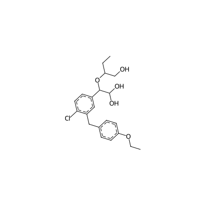 CCOc1ccc(Cc2cc(C(OC(CC)CO)C(O)O)ccc2Cl)cc1